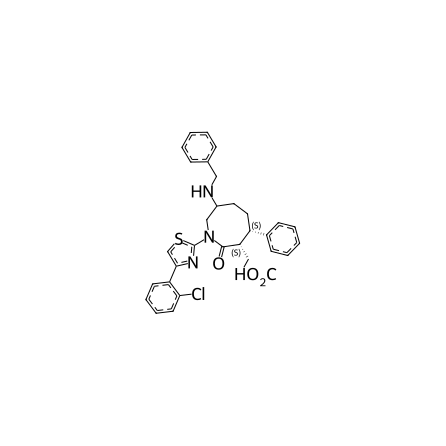 O=C(O)C[C@@H]1C(=O)N(c2nc(-c3ccccc3Cl)cs2)CC(NCc2ccccc2)CC[C@@H]1c1ccccc1